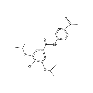 CC(=O)c1ccc(NC(=O)c2cc(OC(C)C)c(Cl)c(OC(C)C)c2)cc1